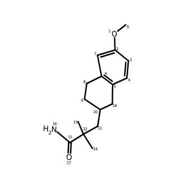 COc1ccc2c(c1)CCC(CC(C)(C)C(N)=O)C2